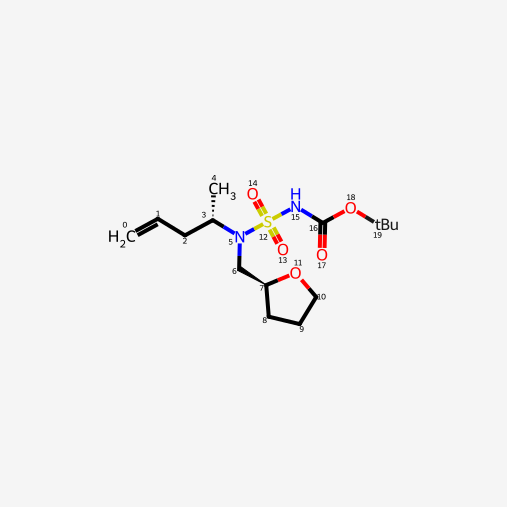 C=CC[C@H](C)N(C[C@@H]1CCCO1)S(=O)(=O)NC(=O)OC(C)(C)C